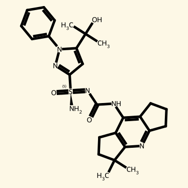 CC(C)(O)c1cc([S@@](N)(=O)=NC(=O)Nc2c3c(nc4c2CCC4(C)C)CCC3)nn1-c1ccccc1